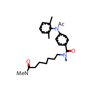 CNC(=O)CCCCCCN(C)C(=O)c1ccc(N(C(C)=O)c2c(C)cccc2C)cc1